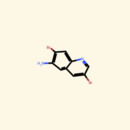 Nc1cc2cc(Br)cnc2cc1Br